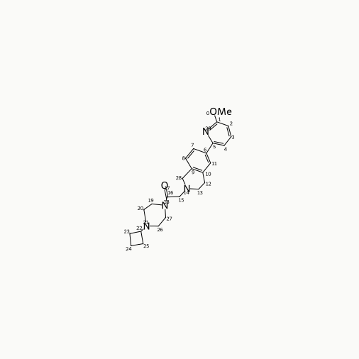 COc1cccc(-c2ccc3c(c2)CCN(CC(=O)N2CCN(C4CCC4)CC2)C3)n1